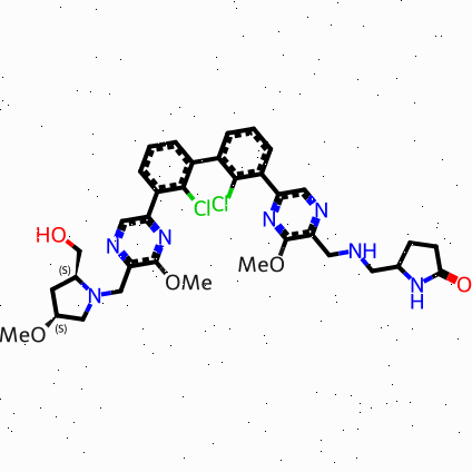 COc1nc(-c2cccc(-c3cccc(-c4cnc(CN5C[C@@H](OC)C[C@H]5CO)c(OC)n4)c3Cl)c2Cl)cnc1CNCC1CCC(=O)N1